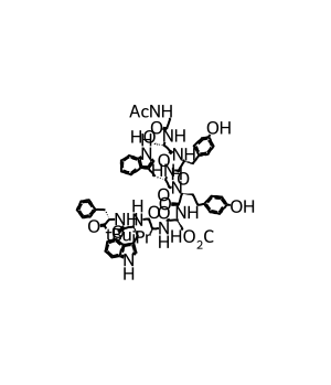 CC(=O)NCC(=O)N[C@@H](CO)C(=O)N[C@@H](Cc1ccc(O)cc1)C(=O)N[C@@H](Cc1c[nH]c2ccccc12)C(=O)N[C@@H](CCc1ccc(O)cc1)C(=O)N[C@@H](CC(=O)O)C(=O)N[C@H](C(=O)N[C@@H](Cc1c[nH]c2ccccc12)C(=O)N[C@@H](Cc1ccccc1)C(=O)C(C)(C)C)C(C)C